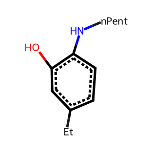 CCCCCNc1ccc(CC)cc1O